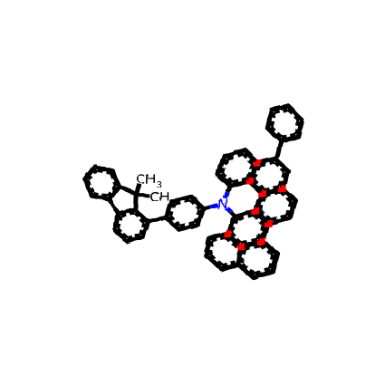 CC1(C)c2ccccc2-c2cccc(-c3ccc(N(c4ccccc4-c4ccc(-c5ccccc5)cc4)c4ccccc4-c4cccc(-c5cccc6ccccc56)c4)cc3)c21